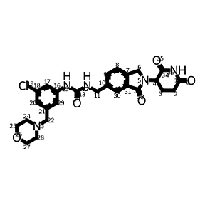 O=C1CCC(N2Cc3ccc(CNC(=O)Nc4cc(Cl)cc(CN5CCOCC5)c4)cc3C2=O)C(=O)N1